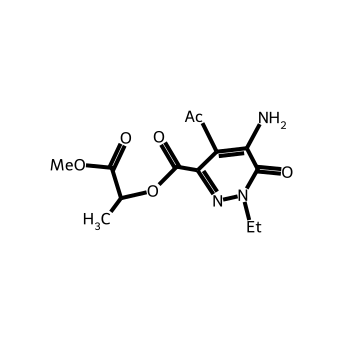 CCn1nc(C(=O)OC(C)C(=O)OC)c(C(C)=O)c(N)c1=O